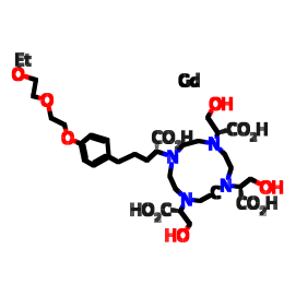 CCOCCOCCOc1ccc(CCC[C@H](C(=O)O)N2CCN([C@@H](CO)C(=O)O)CCN([C@@H](CO)C(=O)O)CCN([C@@H](CO)C(=O)O)CC2)cc1.[Gd]